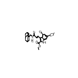 CCOC(=O)c1[nH]c2cc(Cl)cc(Cl)c2c1C=CC(=O)NCC12CC3CC(CC(C3)C1)C2